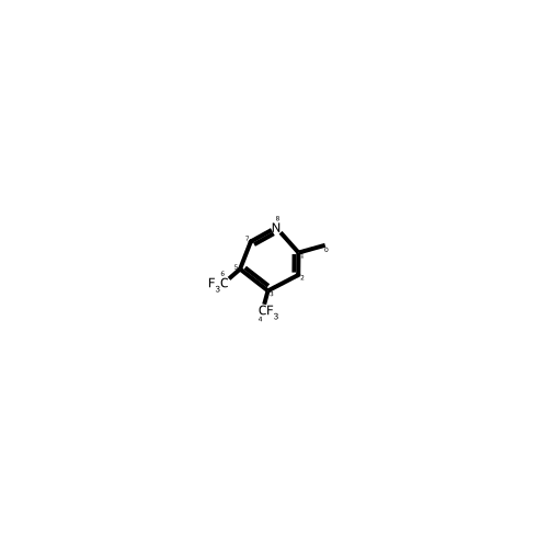 Cc1cc(C(F)(F)F)c(C(F)(F)F)cn1